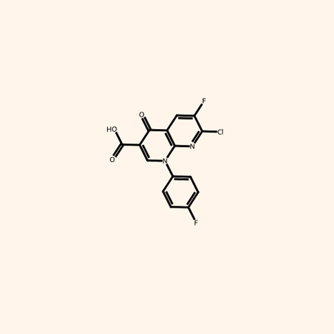 O=C(O)c1cn(-c2ccc(F)cc2)c2nc(Cl)c(F)cc2c1=O